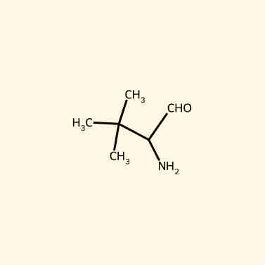 CC(C)(C)C(N)C=O